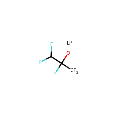 [Li+].[O-]C(F)(C(F)F)C(F)(F)F